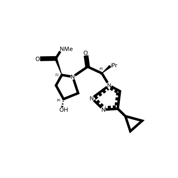 CNC(=O)[C@@H]1C[C@@H](O)CN1C(=O)[C@@H](C(C)C)n1cc(C2CC2)nn1